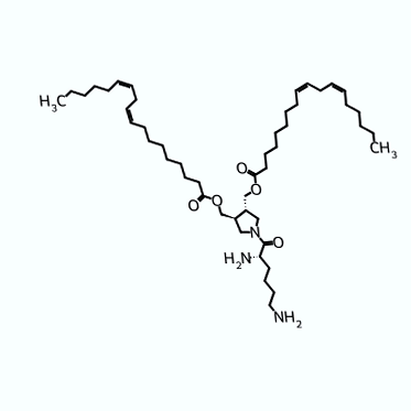 CCCCC/C=C\C/C=C\CCCCCCCC(=O)OC[C@@H]1CN(C(=O)[C@@H](N)CCCCN)C[C@H]1COC(=O)CCCCCCC/C=C\C/C=C\CCCCC